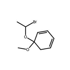 COC1(OC(C)Br)C=CC=CC1